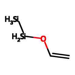 C=CO[SiH2][SiH3]